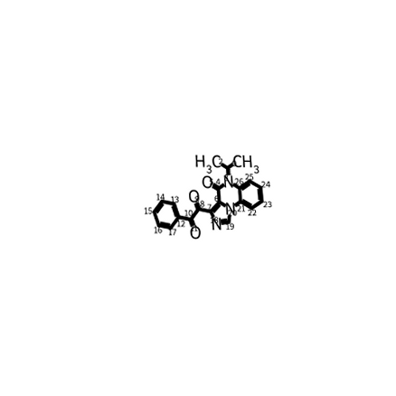 CC(C)n1c(=O)c2c(C(=O)C(=O)c3ccccc3)ncn2c2ccccc21